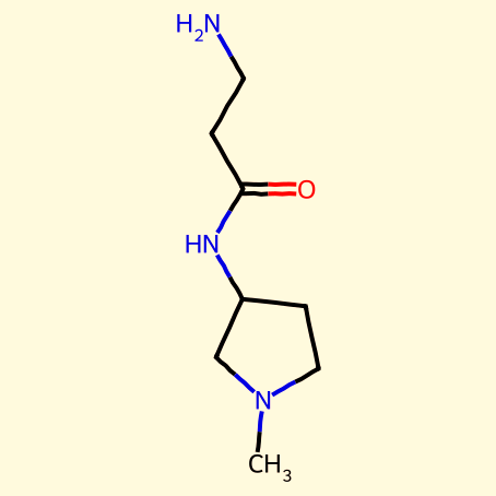 CN1CCC(NC(=O)CCN)C1